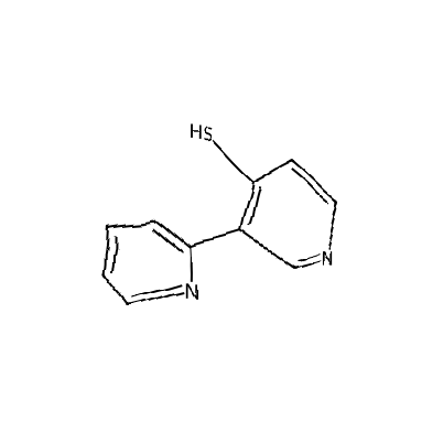 Sc1ccncc1-c1ccccn1